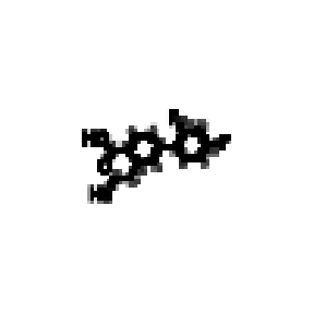 O=C(O)c1ccc(-c2ccc(F)cc2F)cc1CCS